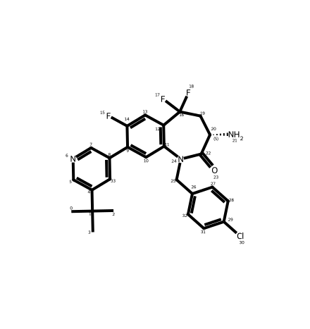 CC(C)(C)c1cncc(-c2cc3c(cc2F)C(F)(F)C[C@H](N)C(=O)N3Cc2ccc(Cl)cc2)c1